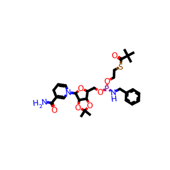 CC1(C)OC2C(COP(NCc3ccccc3)OCCSC(=O)C(C)(C)C)OC(N3C=CCC(C(N)=O)=C3)C2O1